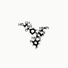 CC(C)Nc1ncc2nc(NC3C(F)=CC(F)=CC3F)n([C@H]3CC[C@@H](C(=O)N[C@H](C)CO)CC3)c2n1